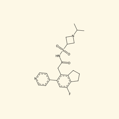 CC(C)N1CC(S(=O)(=O)NC(=O)Cc2c(-c3ccncc3)cc(F)c3c2CCC3)C1